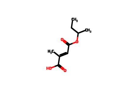 CCC(C)OC(=O)/C=C(\C)C(=O)O